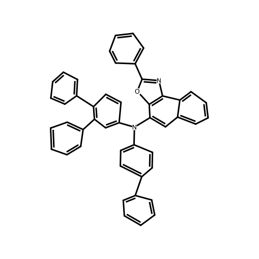 c1ccc(-c2ccc(N(c3ccc(-c4ccccc4)c(-c4ccccc4)c3)c3cc4ccccc4c4nc(-c5ccccc5)oc34)cc2)cc1